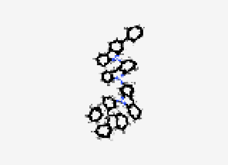 c1ccc(-c2ccc3c4ccccc4n(-c4cccc5c4c4ccccc4n5-c4ccc5c6ccccc6n(-c6cccc([Si](c7ccccc7)(c7ccccc7)c7ccccc7)c6)c5c4)c3c2)cc1